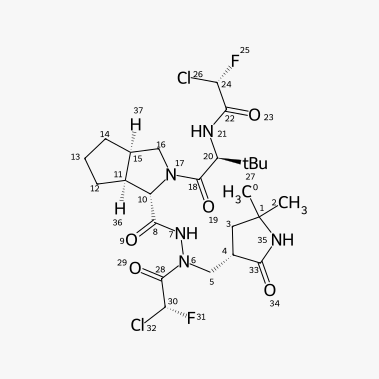 CC1(C)C[C@@H](CN(NC(=O)[C@@H]2[C@H]3CCC[C@H]3CN2C(=O)[C@@H](NC(=O)[C@@H](F)Cl)C(C)(C)C)C(=O)[C@H](F)Cl)C(=O)N1